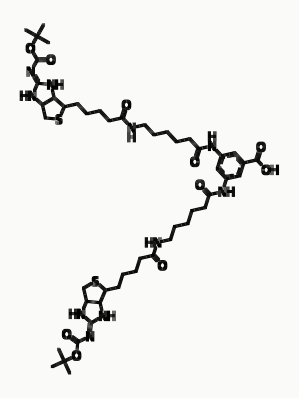 CC(C)(C)OC(=O)/N=C1/NC2CSC(CCCCC(=O)NCCCCCC(=O)Nc3cc(NC(=O)CCCCCNC(=O)CCCCC4SCC5N/C(=N\C(=O)OC(C)(C)C)NC54)cc(C(=O)O)c3)C2N1